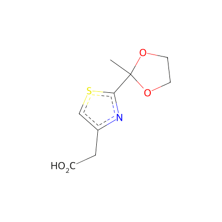 CC1(c2nc(CC(=O)O)cs2)OCCO1